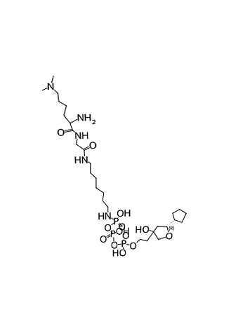 CN(C)CCCCC(N)C(=O)NCC(=O)NCCCCCCCNP(=O)(O)OP(=O)(O)OP(=O)(O)OCCC1(O)CO[C@@H](C2CCCC2)C1